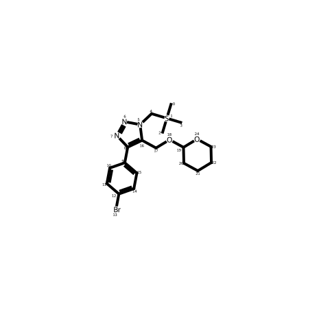 CS(C)(C)Cn1nnc(-c2ccc(Br)cc2)c1COC1CCCCO1